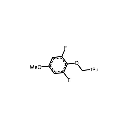 COc1cc(F)c(OCC(C)(C)C)c(F)c1